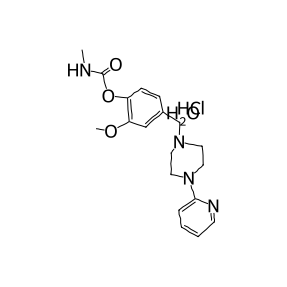 CNC(=O)Oc1ccc(CN2CCN(c3ccccn3)CC2)cc1OC.Cl.O